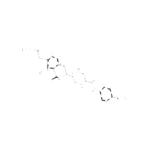 CCCc1ccc2c(c1F)C(=O)OC(C1CCC(CCc3ccc(C)cc3)CC1)C2